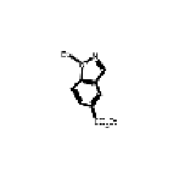 CCOC(=O)c1ccc2c(cnn2CC)c1